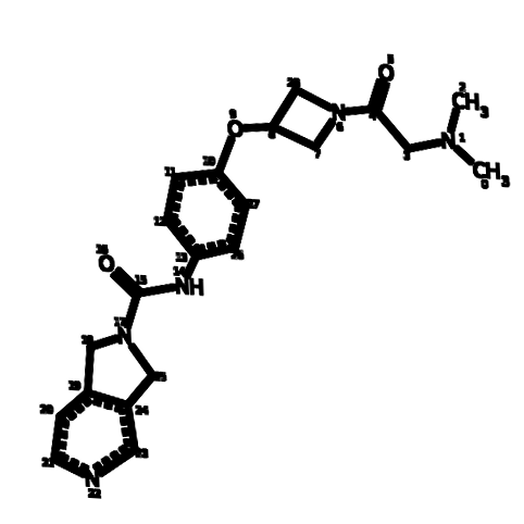 CN(C)CC(=O)N1CC(Oc2ccc(NC(=O)N3Cc4ccncc4C3)cc2)C1